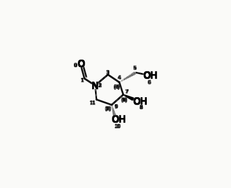 O=CN1C[C@H](CO)[C@@H](O)[C@H](O)C1